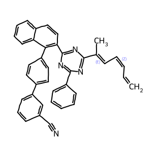 C=C/C=C\C=C(/C)c1nc(-c2ccccc2)nc(-c2ccc3ccccc3c2-c2ccc(-c3cccc(C#N)c3)cc2)n1